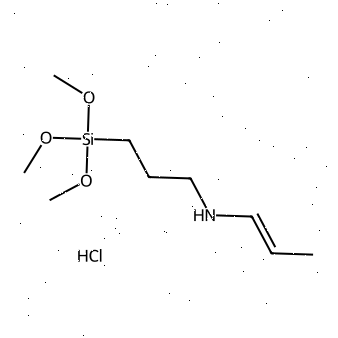 CC=CNCCC[Si](OC)(OC)OC.Cl